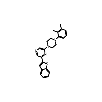 Cc1cccc(N2CCN(c3cncc(-c4cc5ccccc5s4)n3)CC2)c1C